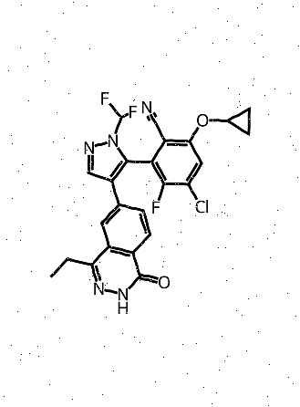 CCc1n[nH]c(=O)c2ccc(-c3cnn(C(F)F)c3-c3c(F)c(Cl)cc(OC4CC4)c3C#N)cc12